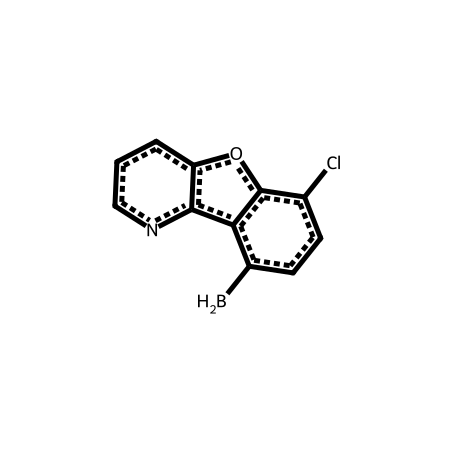 Bc1ccc(Cl)c2oc3cccnc3c12